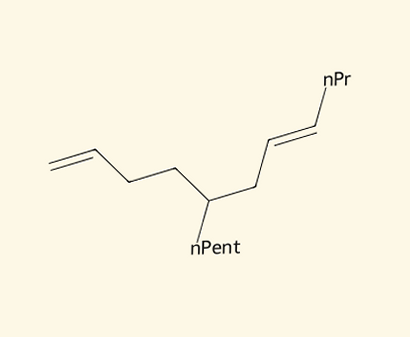 C=CCCC(CC=CCCC)CCCCC